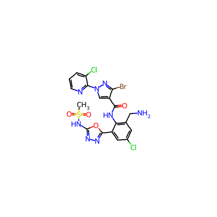 CS(=O)(=O)Nc1nnc(-c2cc(Cl)cc(CN)c2NC(=O)c2cn(-c3ncccc3Cl)nc2Br)o1